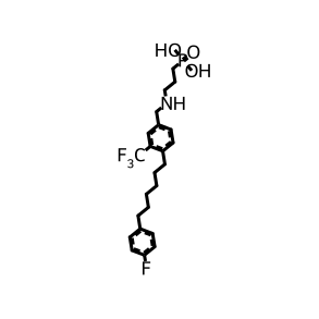 O=P(O)(O)CCCNCc1ccc(CCCCCCc2ccc(F)cc2)c(C(F)(F)F)c1